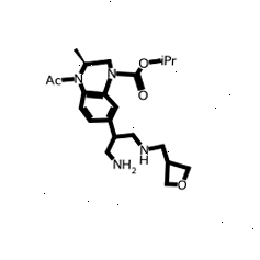 CC(=O)N1c2ccc(C(CN)CNCC3COC3)cc2N(C(=O)OC(C)C)C[C@@H]1C